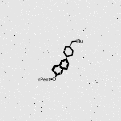 CCCCCOc1ccc2cc([C@H]3CC[C@H](CC(C)CC)CC3)ccc2c1